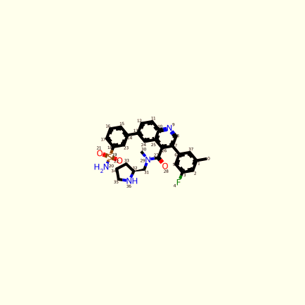 Cc1cc(F)cc(-c2cnc3ccc(-c4cccc(S(N)(=O)=O)c4)cc3c2C(=O)N(C)C[C@@H]2CCCN2)c1